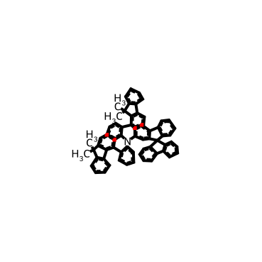 CC1(C)c2ccccc2-c2c(-c3ccccc3N(c3ccc4c(c3)C3(c5ccccc5-c5ccccc53)c3ccccc3-4)c3ccccc3-c3cccc4c3C(C)(C)c3ccccc3-4)cccc21